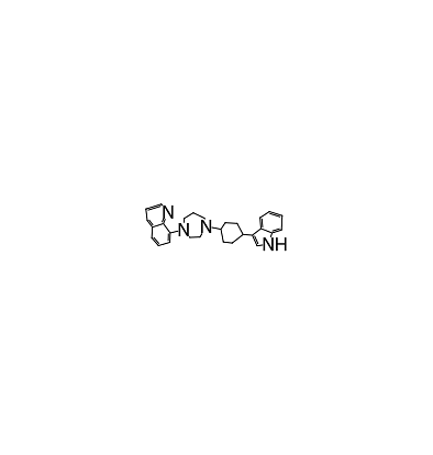 c1cnc2c(N3CCCN(C4CCC(c5c[nH]c6ccccc56)CC4)CC3)cccc2c1